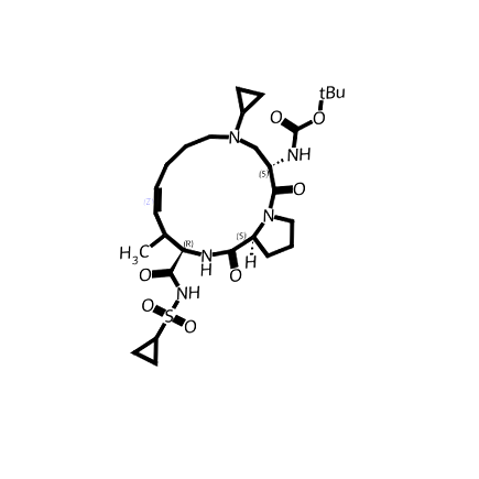 CC1/C=C\CCCN(C2CC2)C[C@H](NC(=O)OC(C)(C)C)C(=O)N2CCC[C@H]2C(=O)N[C@H]1C(=O)NS(=O)(=O)C1CC1